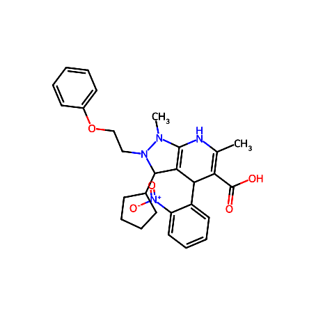 CC1=C(C(=O)O)C(c2ccccc2[N+](=O)[O-])C2=C(N1)N(C)N(CCOc1ccccc1)C2C1CCCC1